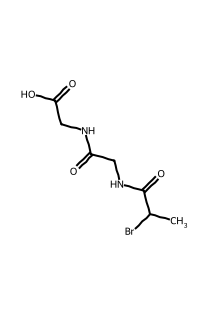 CC(Br)C(=O)NCC(=O)NCC(=O)O